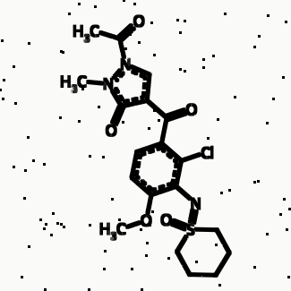 COc1ccc(C(=O)c2cn(C(C)=O)n(C)c2=O)c(Cl)c1N=S1(=O)CCCCC1